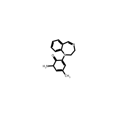 CC1=CC(N)C(=O)C(N2CCN=Cc3ccccc32)=C1